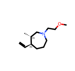 C=C[C@@H]1CCCN(CCOC)C[C@H]1C